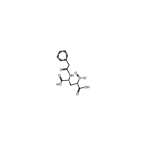 O=C(Cc1ccccc1)N[C@@H](CC(C(=O)O)[N+](=O)[O-])C(=O)O